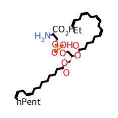 CC/C=C\C/C=C\C/C=C\C/C=C\CCCCC(=O)O[C@H](COC(=O)CCCCCCC/C=C\C/C=C\CCCCC)COP(=O)(O)OC[C@H](N)C(=O)O